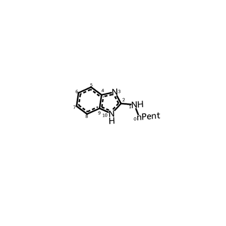 CCCCCNc1nc2ccccc2[nH]1